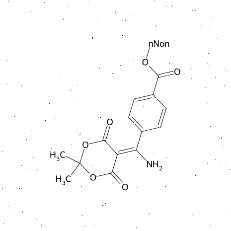 CCCCCCCCCOC(=O)c1ccc(C(N)=C2C(=O)OC(C)(C)OC2=O)cc1